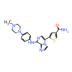 CN1CCN(c2ccc(Nc3ncc(-c4cc(C(N)=O)cs4)n4ccnc34)cc2)CC1